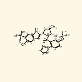 C=C1C[C@@H](c2nc3cc(Cl)c(C(F)(F)F)cc3[nH]2)N(C(=O)c2cc(OC(F)(F)F)ccc2-n2nccn2)C1